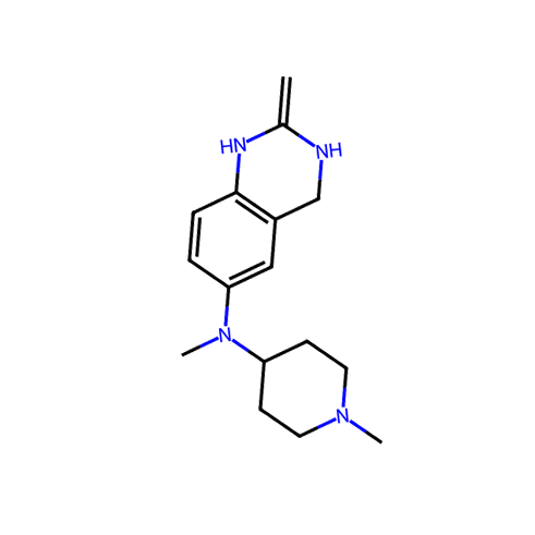 C=C1NCc2cc(N(C)C3CCN(C)CC3)ccc2N1